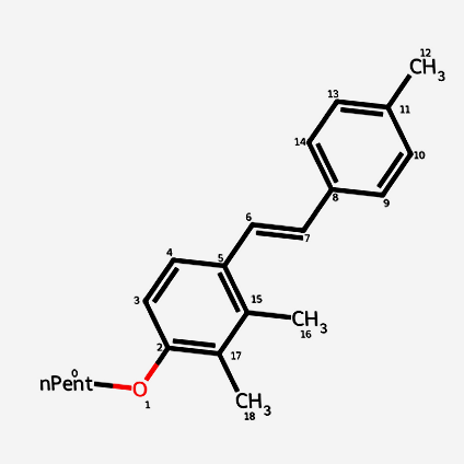 CCCCCOc1ccc(C=Cc2ccc(C)cc2)c(C)c1C